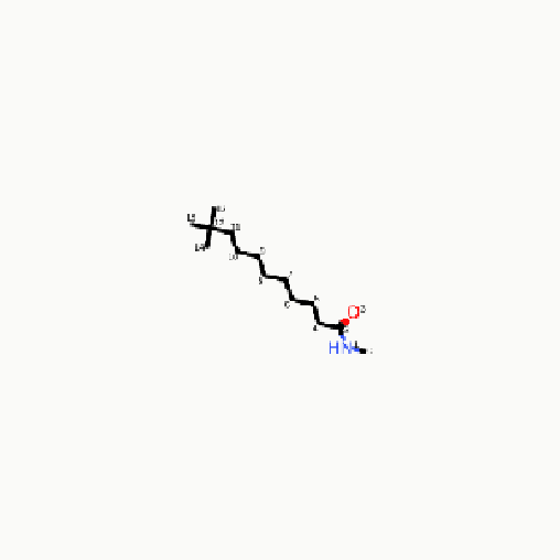 CNC(=O)CCCCCCCCC(C)(C)C